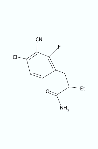 CCC(Cc1ccc(Cl)c(C#N)c1F)C(N)=O